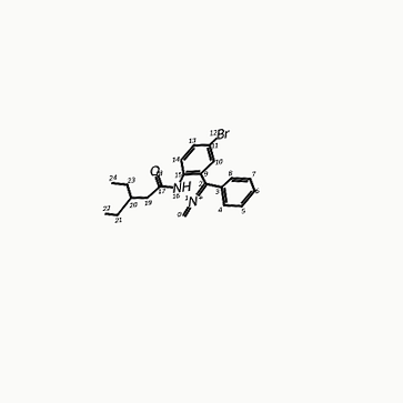 C=[N+]=C(c1ccccc1)c1cc(Br)ccc1NC(=O)CC(CC)CC